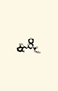 CC(C)(C)OC(=O)N1C[C@@H](CCc2c(N)cccc2F)OC2(CCOCC2)C1